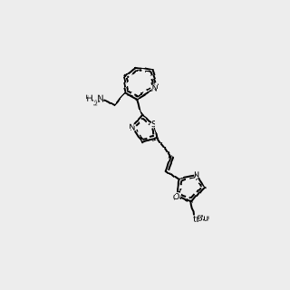 CC(C)(C)c1cnc(C=Cc2cnc(-c3ncccc3CN)s2)o1